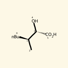 CCCC[C@H](C)[C@H](O)C(=O)O